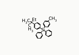 CCC(C)(C)c1ccc([Si](c2ccccc2)(c2ccccc2)c2ccc(C)cc2)cc1